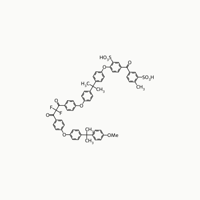 COc1ccc(C(C)(C)c2ccc(Oc3ccc(C(=O)C(F)(F)C(=O)c4ccc(Oc5ccc(C(C)(C)c6ccc(Oc7ccc(C(=O)c8ccc(C)c(S(=O)(=O)O)c8)cc7S(=O)(=O)O)cc6)cc5)cc4)cc3)cc2)cc1